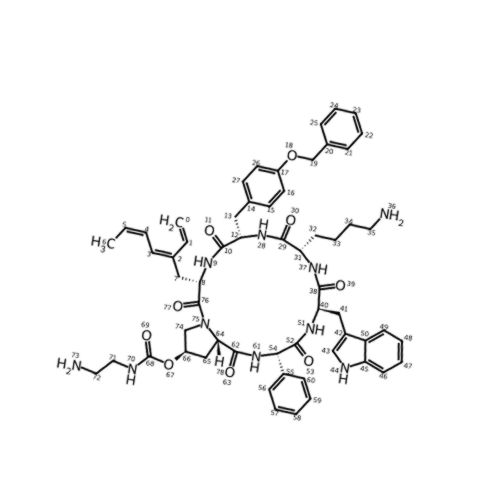 C=C/C(=C\C=C/C)C[C@@H]1NC(=O)[C@H](Cc2ccc(OCc3ccccc3)cc2)NC(=O)[C@H](CCCCN)NC(=O)[C@@H](Cc2c[nH]c3ccccc23)NC(=O)[C@H](c2ccccc2)NC(=O)[C@@H]2C[C@@H](OC(=O)NCCN)CN2C1=O